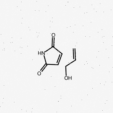 C=CCO.O=C1C=CC(=O)N1